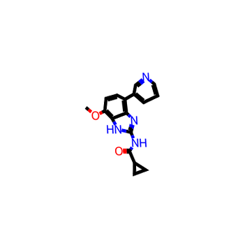 COc1ccc(-c2cccnc2)c2nc(NC(=O)C3CC3)[nH]c12